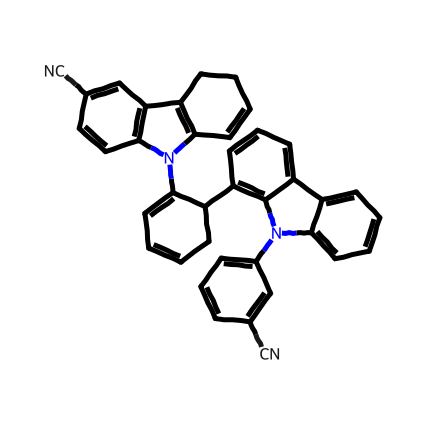 N#Cc1cccc(-n2c3ccccc3c3cccc(C4CC=CC=C4n4c5c(c6cc(C#N)ccc64)CCC=C5)c32)c1